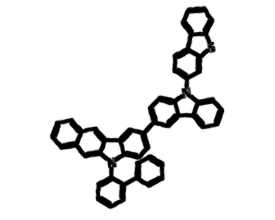 c1ccc(-c2ccccc2-n2c3ccc(-c4ccc5c(c4)c4ccccc4n5-c4ccc5c(c4)sc4ccccc45)cc3c3cc4ccccc4cc32)cc1